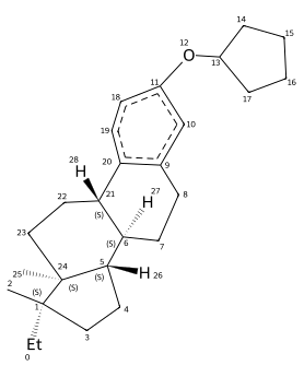 CC[C@@]1(C)CC[C@H]2[C@@H]3CCc4cc(OC5CCCC5)ccc4[C@H]3CC[C@@]21C